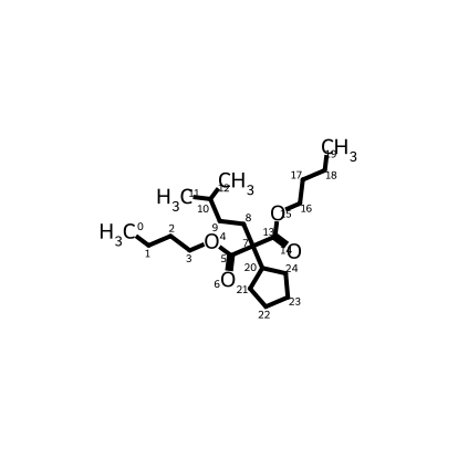 CCCCOC(=O)C(CCC(C)C)(C(=O)OCCCC)C1CCCC1